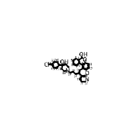 O=C(O)c1ccccc1-c1cccc2c1CC(=CCCN1CCC(O)(c3ccc(Cl)cc3)CC1)c1cccnc1O2